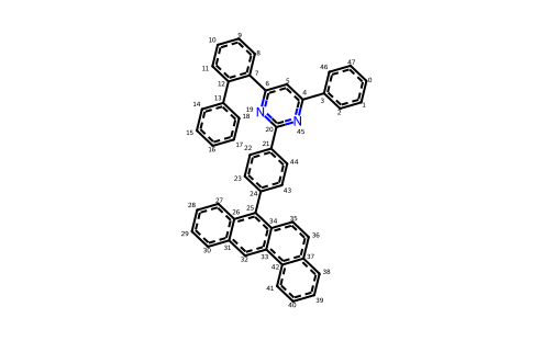 c1ccc(-c2cc(-c3ccccc3-c3ccccc3)nc(-c3ccc(-c4c5ccccc5cc5c4ccc4ccccc45)cc3)n2)cc1